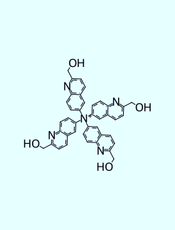 OCc1ccc2cc([N+](c3ccc4nc(CO)ccc4c3)(c3ccc4nc(CO)ccc4c3)c3ccc4nc(CO)ccc4c3)ccc2n1